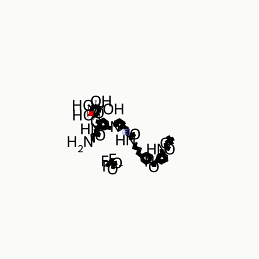 CC(C)(C)OC(=O)Nc1cccc(C(=O)N2CCC(CCCCNC(=O)/C=C/c3ccc[n+](Cc4ccc(O[C@H]5O[C@H](CO)[C@@H](O)[C@H](O)[C@@H]5O)c(NC(=O)CCN)c4)c3)CC2)c1.O=C([O-])C(F)(F)F